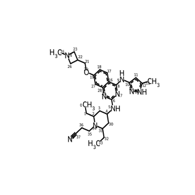 CCC1CC(Nc2nc(Nc3cc(C)[nH]n3)c3ccc(OCC4CN(C)C4)cc3n2)CC(CC)N1CCC#N